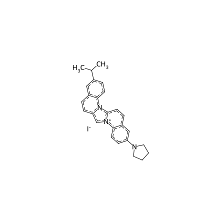 CC(C)c1ccc2c(ccc3c[n+]4c5ccc(N6CCCC6)cc5ccc4n32)c1.[I-]